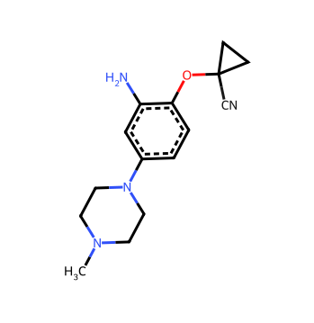 CN1CCN(c2ccc(OC3(C#N)CC3)c(N)c2)CC1